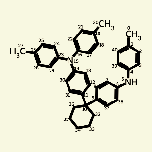 Cc1ccc(Nc2ccc(C3(c4ccc(N(c5ccc(C)cc5)c5ccc(C)cc5)cc4)CCCCC3)cc2)cc1